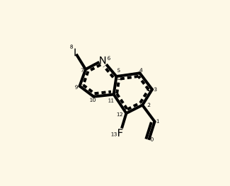 C=Cc1ccc2nc(I)ccc2c1F